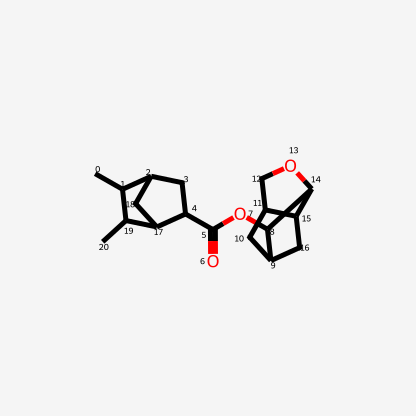 CC1C2CC(C(=O)OC3C4CC5COC3C5C4)C(C2)C1C